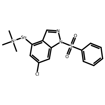 C[N+](C)(C)[Sn][c]1cc(Cl)cc2c1cnn2S(=O)(=O)c1ccccc1